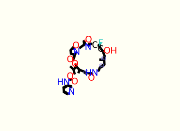 CC1=C\C(O)CC(F)Cc2nc(co2)C(=O)N2CCCC2C(=O)OC(C(C)COC(=O)Nc2cccnc2)C(C)/C=C/C(=O)NC\C=C\1